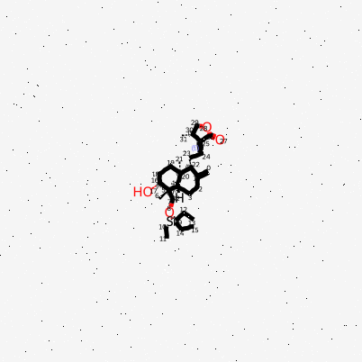 C=C1CC[C@@H]2[C@](C)(CO[Si](CC)(CC)CC)[C@H](O)CC[C@@]2(C)[C@@H]1C/C=C1/C(=O)OC[C@H]1C